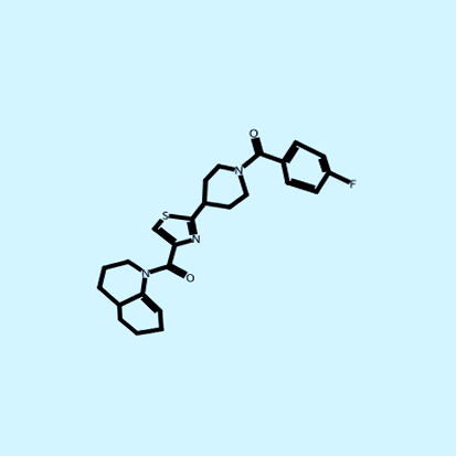 O=C(c1ccc(F)cc1)N1CCC(c2nc(C(=O)N3CCCC4CCCC=C43)cs2)CC1